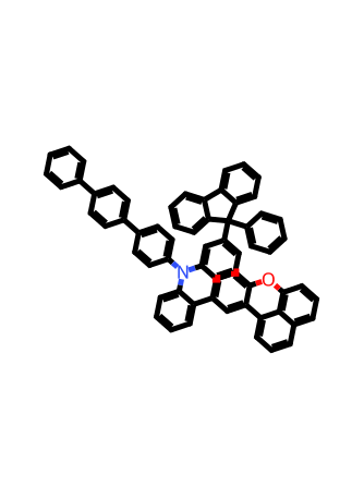 c1ccc(-c2ccc(-c3ccc(N(c4cccc(C5(c6ccccc6)c6ccccc6-c6ccccc65)c4)c4ccccc4-c4ccc5c(c4)-c4cccc6cccc(c46)O5)cc3)cc2)cc1